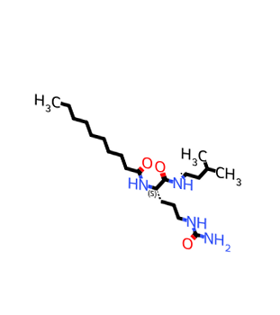 CCCCCCCCCC(=O)N[C@@H](CCCNC(N)=O)C(=O)N[CH]CC(C)C